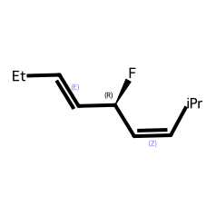 CC/C=C/[C@@H](F)/C=C\C(C)C